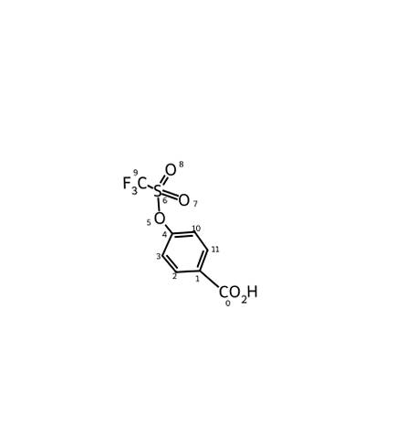 O=C(O)c1ccc(OS(=O)(=O)C(F)(F)F)cc1